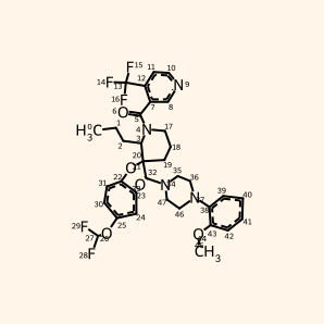 CCCC1N(C(=O)c2cnccc2C(F)(F)F)CCCC1(Oc1ccc(OC(F)F)cc1)C(=O)N1CCN(c2ccccc2OC)CC1